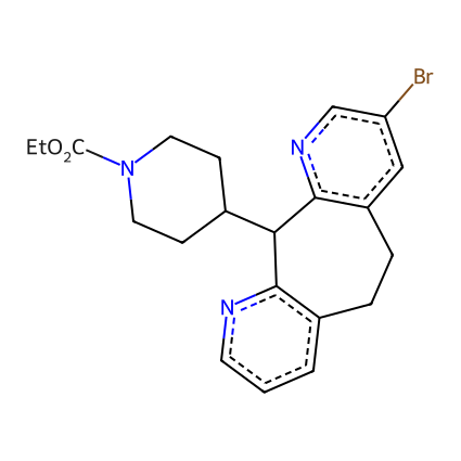 CCOC(=O)N1CCC(C2c3ncccc3CCc3cc(Br)cnc32)CC1